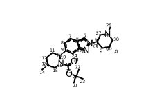 C[C@@H]1C[C@@H](n2cc3ccc([C@@H]4CC[C@H](C)CN4C(=O)OC(C)(C)C)cc3n2)CN(C)C1